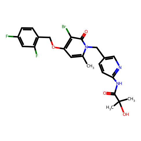 Cc1cc(OCc2ccc(F)cc2F)c(Br)c(=O)n1Cc1ccc(NC(=O)C(C)(C)O)nc1